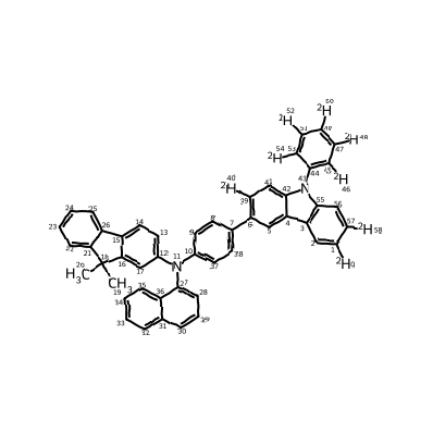 [2H]c1cc2c3cc(-c4ccc(N(c5ccc6c(c5)C(C)(C)c5ccccc5-6)c5cccc6ccccc56)cc4)c([2H])cc3n(-c3c([2H])c([2H])c([2H])c([2H])c3[2H])c2cc1[2H]